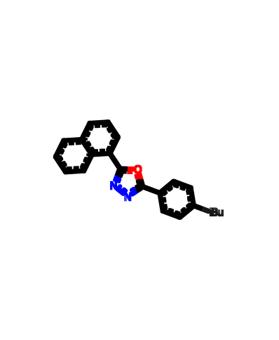 CCC(C)c1ccc(-c2nnc(-c3cccc4ccccc34)o2)cc1